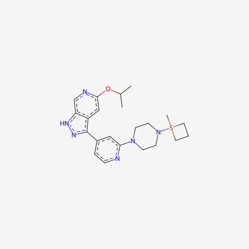 CC(C)Oc1cc2c(-c3ccnc(N4CCN(S5(C)CCC5)CC4)c3)n[nH]c2cn1